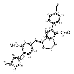 COc1cc(/C=C2\CCCn3c2nc(-c2ccc(F)cc2)c3C=O)ccc1-n1cnc(C)c1